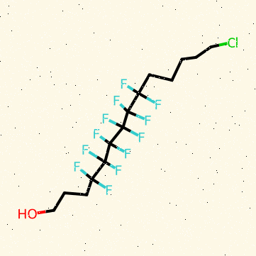 OCCCC(F)(F)C(F)(F)C(F)(F)C(F)(F)C(F)(F)C(F)(F)CCCCCCl